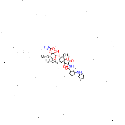 CO[C@@H]1[C@@H](OC(N)=O)[C@@H](O)[C@H](Oc2ccc3c(O)c(NC(=O)c4cccc(Nc5ccccc5)c4)c(=O)oc3c2C)OC1(C)C